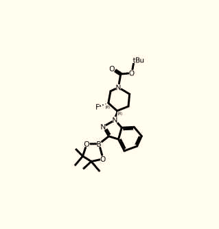 CC(C)(C)OC(=O)N1CC[C@@H](n2nc(B3OC(C)(C)C(C)(C)O3)c3ccccc32)[C@H](F)C1